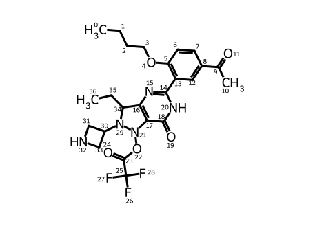 CCCCOc1ccc(C(C)=O)cc1-c1nc2c(c(=O)[nH]1)N(OC(=O)C(F)(F)F)N(C1CNC1)C2CC